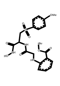 COc1ccc(S(=O)(=O)CC(NC(=O)CNc2ccccc2C(=O)OC(C)(C)C)C(=O)NO)cc1